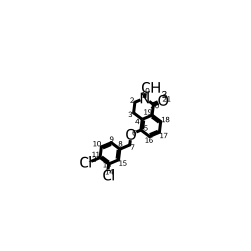 CN1CCc2c(OCc3ccc(Cl)c(Cl)c3)cccc2C1=O